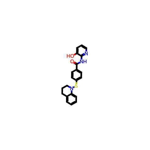 O=C(Nc1ncccc1O)c1ccc(SN2CCCc3ccccc32)cc1